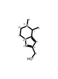 CC1c2cc(CO)nn2CCN1C